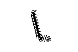 CO[Si](OC)(OC)OC(F)(F)C(F)(F)C(F)(F)C(F)(F)C(F)(F)C(F)(F)C(F)(F)C(F)(F)C(F)(F)C(F)(F)C(F)(F)C(F)(F)C(F)(F)C(F)(F)C(F)(F)C(F)(F)C(F)(F)F